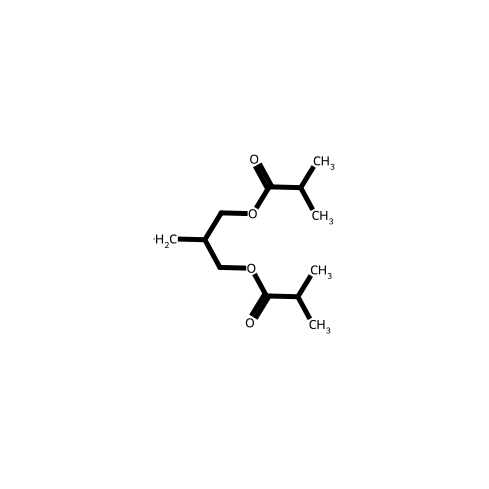 [CH2]C(COC(=O)C(C)C)COC(=O)C(C)C